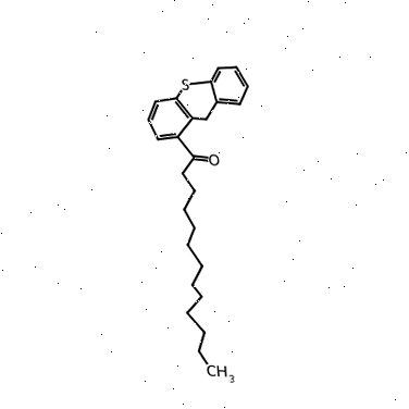 CCCCCCCCCCCCC(=O)c1cccc2c1Cc1ccccc1S2